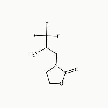 NC(CN1CCOC1=O)C(F)(F)F